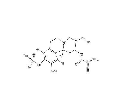 [2H]c1c2c(c([2H])c(OC)c1OC([2H])([2H])[2H])C1([2H])CC(OC(=O)[C@@H](N)C(C)C)C(CC(C)C)CN1CC2